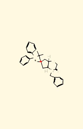 CC(C)(C)[Si](OC1C[C@@H]2OCC(=O)N(Cc3ccccc3)[C@H]2C1)(c1ccccc1)c1ccccc1